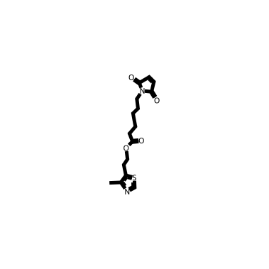 Cc1ncsc1CCOC(=O)CCCCCN1C(=O)C=CC1=O